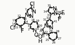 [O-][n+]1cc(-c2c(-n3cc(Cl)nn3)ccc(Cl)c2F)ccc1[C@@H]([C@H](O)c1ccccc1)n1cc(-c2ccnn2C(F)F)cn1